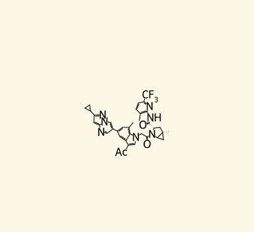 CC(=O)c1cn(CC(=O)N2C3C[C@]3(C)C[C@H]2C(=O)Nc2nc(C(F)(F)F)ccc2C)c2c(C)cc(-c3cnc4cc(C5CC5)nn4c3)cc12